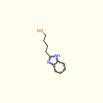 OCCCCc1nc2ccccc2[nH]1